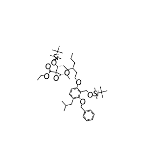 CCC[C@@H](CCOc1ccc(CC(C)C)c(OCc2ccccc2)c1CO[Si](C)(C)C(C)(C)C)C(=O)C[C@@H](O[Si](C)(C)C(C)(C)C)C1(C(=O)OCC)O[C@H]1CC